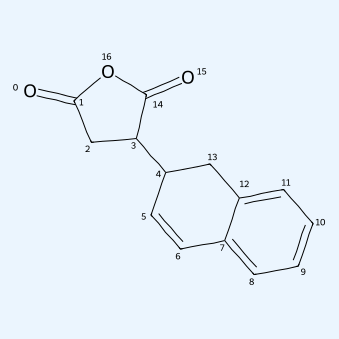 O=C1CC(C2C=Cc3ccccc3C2)C(=O)O1